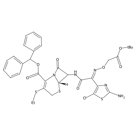 CCSC1=C(C(=O)OC(c2ccccc2)c2ccccc2)N2C(=O)C(NC(=O)C(=NOCC(=O)OC(C)(C)C)c3nc(N)sc3Cl)[C@@H]2SC1